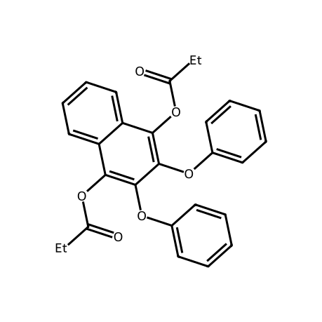 CCC(=O)Oc1c(Oc2ccccc2)c(Oc2ccccc2)c(OC(=O)CC)c2ccccc12